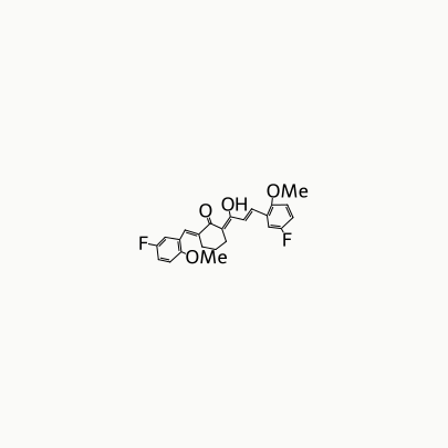 COc1ccc(F)cc1/C=C/C(O)=C1\CCC/C(=C\c2cc(F)ccc2OC)C1=O